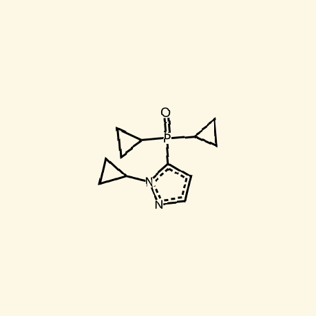 O=P(c1ccnn1C1CC1)(C1CC1)C1CC1